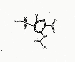 CC(=O)Nc1cc(S(C)(=O)=O)c(Cl)cc1[N+](=O)[O-]